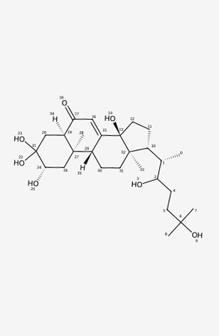 C[C@H](C(O)CCC(C)(C)O)[C@H]1CC[C@@]2(O)C3=CC(=O)[C@@H]4CC(O)(O)[C@@H](O)C[C@]4(C)[C@H]3CC[C@]12C